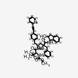 COC(=O)N[C@H](C(=O)NN(Cc1ccc(C#Cc2ccccn2)cc1)C[C@](O)(Cc1ccccc1)C(=O)N[C@H]1c2ccccc2C[C@H]1O)C(C)(C)C